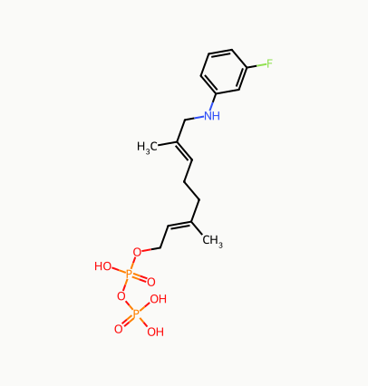 CC(=CCOP(=O)(O)OP(=O)(O)O)CCC=C(C)CNc1cccc(F)c1